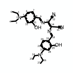 CCN(CC)c1ccc(C=NC(C#N)=C(C#N)N=Cc2ccc(N(CC)CC)cc2O)c(O)c1